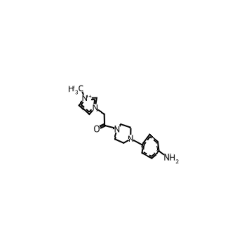 C[n+]1ccn(CC(=O)N2CCN(c3ccc(N)cc3)CC2)c1